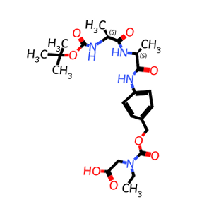 CCN(CC(=O)O)C(=O)OCc1ccc(NC(=O)[C@H](C)NC(=O)[C@H](C)NC(=O)OC(C)(C)C)cc1